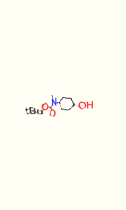 CN(C(=O)OC(C)(C)C)[C@H]1CC[C@H](O)CC1